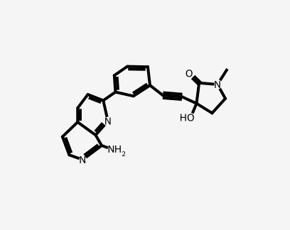 CN1CCC(O)(C#Cc2cccc(-c3ccc4ccnc(N)c4n3)c2)C1=O